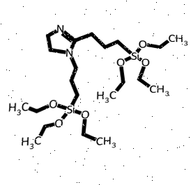 CCO[Si](CCCC1=NCCN1CCC[Si](OCC)(OCC)OCC)(OCC)OCC